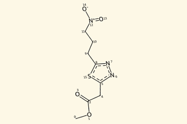 COC(=O)Cc1nnc(CCC[N+](=O)[O-])s1